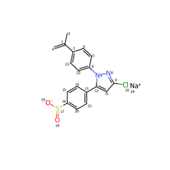 C=C(C)c1ccc(-n2nc(Cl)cc2-c2ccc(S(=O)[O-])cc2)cc1.[Na+]